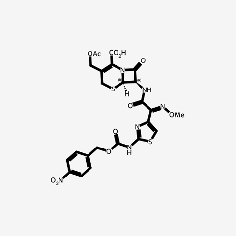 CON=C(C(=O)N[C@@H]1C(=O)N2C(C(=O)O)=C(COC(C)=O)CS[C@H]12)c1csc(NC(=O)OCc2ccc([N+](=O)[O-])cc2)n1